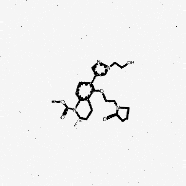 COC(=O)N1c2ccc(-c3cnn(CCO)c3)c(OCCN3CCCC3=O)c2CC[C@@H]1C